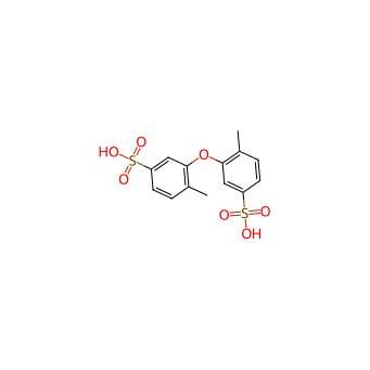 Cc1ccc(S(=O)(=O)O)cc1Oc1cc(S(=O)(=O)O)ccc1C